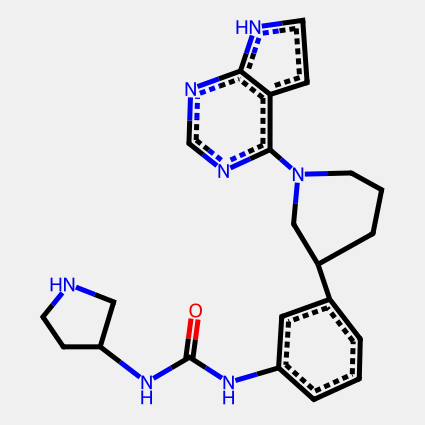 O=C(Nc1cccc(C2CCCN(c3ncnc4[nH]ccc34)C2)c1)NC1CCNC1